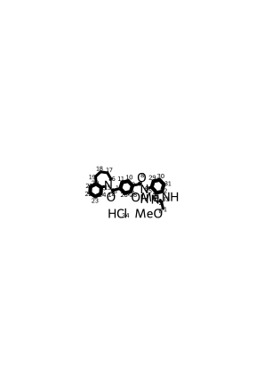 COCc1nc2c(NC(=O)c3ccc(C(=O)N4CCCCc5ccccc54)cc3OC)cccc2[nH]1.Cl